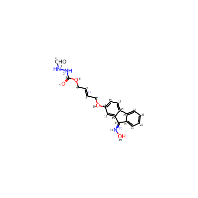 O=CNNC(=O)OC/C=C/COc1ccc2c(c1)/C(=N/O)c1ccccc1-2